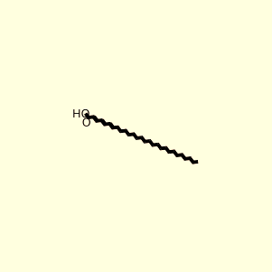 CCCCCCCCCCCCCCCCCCCCC/C=C/C=C/C=C/C(=O)O